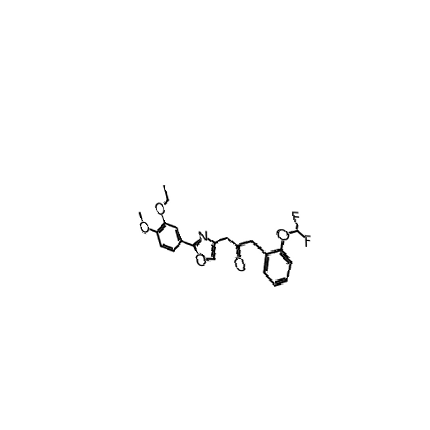 CCOc1cc(-c2nc(CC(=O)Cc3ccccc3OC(F)F)co2)ccc1OC